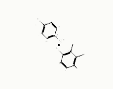 Cc1c([O])ccc(N=Nc2ccc([N+](=O)[O-])cc2)c1C